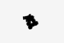 Cc1ccc(-c2cc3cc4nc(c(-c5ccccc5)c5ccc([nH]5)c(-c5ccccc5)c5nc(c(-c6ccccc6)c2[nH]3)C=C5)C=C4)c(C(=O)O)c1